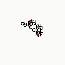 O=C(c1cc(-c2cnn(-c3c(Cl)cc(C(F)(C(F)(F)F)C(F)(F)F)cc3Cl)c2)cnc1Cl)N(CCOc1ccccc1)C1CC1